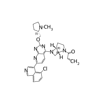 C=CC(=O)N1CC[C@@H]2[C@H]1CN2c1nc(OC[C@@H]2CCCN2C)nc2nc(-c3cncc4cccc(Cl)c34)ccc12